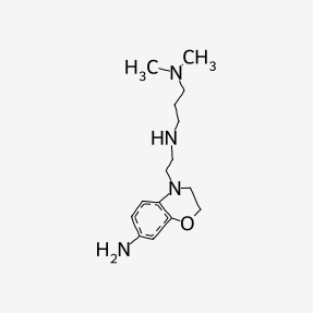 CN(C)CCCNCCN1CCOc2cc(N)ccc21